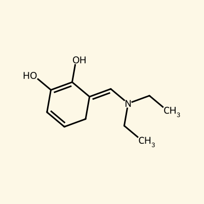 CCN(C=C1CC=CC(O)=C1O)CC